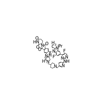 Cc1nc2c(F)cc(-c3nc(Nc4ccc(CN5CCC(CN6C[C@H]7C[C@@H]6CN7c6cc7c(cc6F)C(=O)N(C6CCC(=O)NC6=O)C7=O)CC5)cn4)ncc3F)cc2n1C(C)C